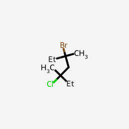 CCC(C)(Cl)CC(C)(Br)CC